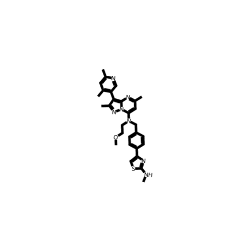 CNc1nc(-c2ccc(CN(CCOC)c3cc(C)nc4c(-c5cnc(C)cc5C)c(C)nn34)cc2)cs1